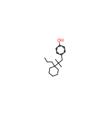 CCCC1(C(C)(C)Cc2ccc(O)cc2)CCCCC1